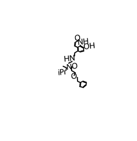 CC(C)C(C)N(CCNCCc1ccc(O)c2[nH]c(=O)ccc12)C(=O)CCOCCc1ccccc1